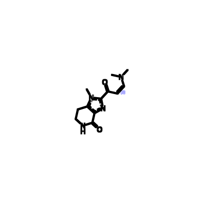 CN(C)/C=C\C(=O)c1nc2c(n1C)CCNC2=O